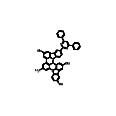 Cc1cc2c3c(c1)-n1c4ccc(C(C)(C)C)cc4c4cc(C(C)(C)C)cc(c41)B3n1c3ccc(-c4nc(-c5ccccc5)cc(-c5ccccc5)n4)cc3c3cc(C(C)(C)C)cc-2c31